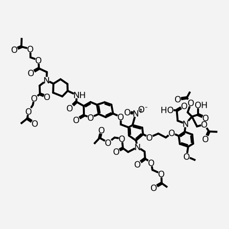 COc1ccc(N(CC(=O)O)C(COC(C)=O)(COC(C)=O)C(=O)O)c(OCCOc2cc([N+](=O)[O-])c(COc3ccc4cc(C(=O)NC5CCC(N(CC(=O)OCOC(C)=O)CC(=O)OCOC(C)=O)CC5)c(=O)oc4c3)cc2N(CC(=O)OCOC(C)=O)CC(=O)OCOC(C)=O)c1